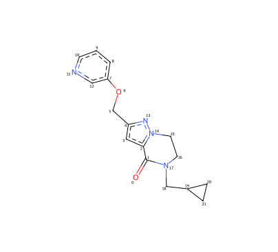 O=C1c2cc(COc3cccnc3)nn2CCN1CC1CC1